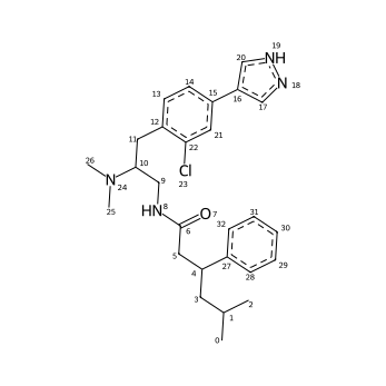 CC(C)CC(CC(=O)NCC(Cc1ccc(-c2cn[nH]c2)cc1Cl)N(C)C)c1ccccc1